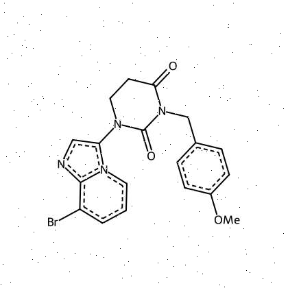 COc1ccc(CN2C(=O)CCN(c3cnc4c(Br)cccn34)C2=O)cc1